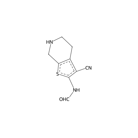 N#Cc1c(NC=O)sc2c1CCNC2